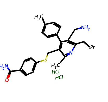 Cc1ccc(-c2c(CSc3ccc(C(N)=O)cc3)c(C)nc(CC(C)C)c2CN)cc1.Cl.Cl